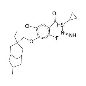 CCC1(COc2cc(F)c(C(=O)[SH](N=N)C3CC3)cc2Cl)CC2CC(C)CC(C2)C1